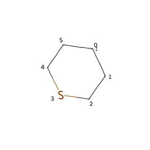 [C]1CCSCC1